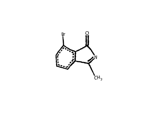 CC1=NC(=O)c2c(Br)cccc21